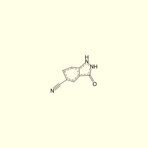 N#Cc1ccc2[nH][nH]c(=O)c2c1